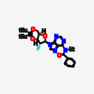 CCN(C(=O)c1ccccc1)c1ncnc2c1ncn2[C@@H]1O[C@@H]2CO[Si](C(C)(C)C)(C(C)(C)C)O[C@@H]2[C@H]1F